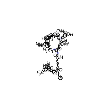 CO[C@H]1C[C@@H](C)[C@@]2(O)O[C@H]1[C@H](OC)C[C@H](C)C/C(C)=C\[C@H](C/C=C/C(=O)NCCSSCCOC(=O)N(CCN1CCCCC1)c1ccc(Cn3c(=O)[nH]c4c(N)nc(C(F)(F)F)cc43)cn1)C(=O)C[C@H](O)[C@@H](C)[C@@H](/C(C)=C/[C@@H]1CC[C@@H](O)[C@H](OC)C1)OC(=O)C1CCCCN1C(=O)C2=O